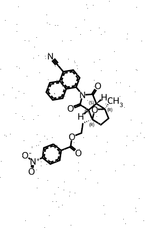 C[C@]12CC[C@](CCOC(=O)c3ccc([N+](=O)[O-])cc3)(O1)[C@@H]1C(=O)N(c3ccc(C#N)c4ccccc34)C(=O)[C@@H]12